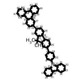 CC1(C)c2cc(-c3ccc(-n4c5ccccc5c5ccccc54)cc3)ccc2-c2ccc(-c3ccc4c(c3)c3ccccc3c3nccnc43)cc21